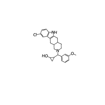 COc1cccc(C(C2CC2O)N2CCC3Cc4[nH]c5ccc(Cl)cc5c4CC3C2)c1